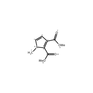 COC(=O)c1ccn(C)c1C(=O)OC